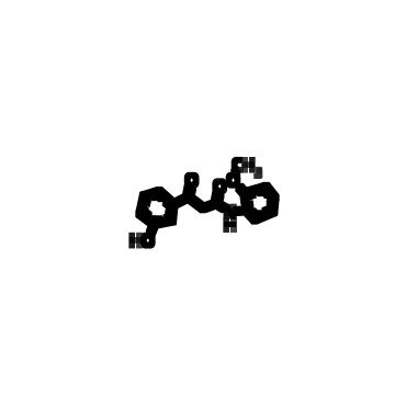 COc1ccccc1NC(=O)CC(=O)c1cccc(O)c1